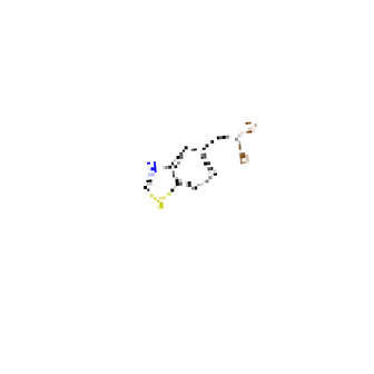 BrC(Br)Cc1ccc2scnc2c1